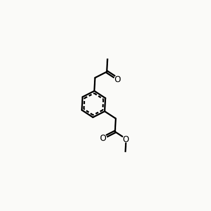 COC(=O)Cc1cccc(CC(C)=O)c1